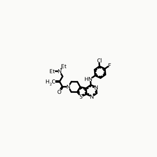 C=C(CN(CC)CC)C(=O)N1CCc2c(sc3ncnc(Nc4ccc(F)c(Cl)c4)c23)C1